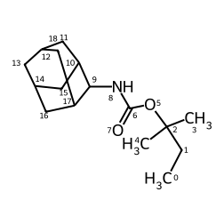 CCC(C)(C)OC(=O)NC1C2CC3CC(C2)CC1C3